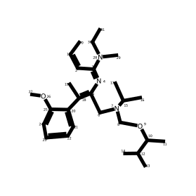 C\C=C/C(=N\C(CN(COC(C)C(C)C)C(C)C)=C(/C)c1ccccc1OC)N(C)CC